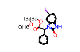 CC(C)(C)OC(=O)C(c1ccccc1)n1c(=O)[nH]c2ccc(I)cc21.CC(C)(C)OC=O